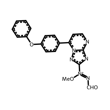 CO[N+](=NC=O)c1nc2nccc(-c3ccc(Oc4ccccc4)cc3)n2n1